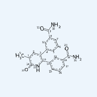 Cc1cc(-c2cccc(C(N)=O)c2)c(-c2cccc(C(N)=O)c2)[nH]c1=O